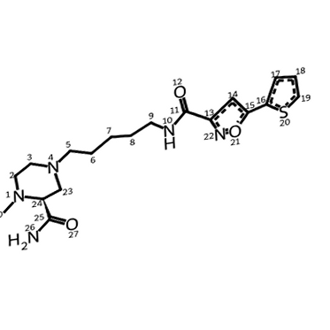 CN1CCN(CCCCCNC(=O)c2cc(-c3cccs3)on2)C[C@H]1C(N)=O